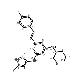 Cc1ccc(/C=C/c2nc(Nc3cc(C)[nH]n3)cc(NC3CCNCC3)n2)cc1